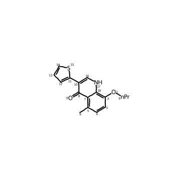 CCCOc1ccc(C)c2c(=O)c(-c3cccs3)c[nH]c12